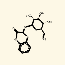 O=C1Nc2ccccc2OC1OC1O[C@H](CO)[C@@H](O)[C@H](O)[C@H]1O